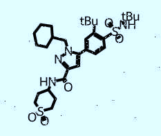 CC(C)(C)NS(=O)(=O)c1ccc(-c2cc(C(=O)NC3CCS(=O)(=O)CC3)nn2CC2CCCCC2)cc1C(C)(C)C